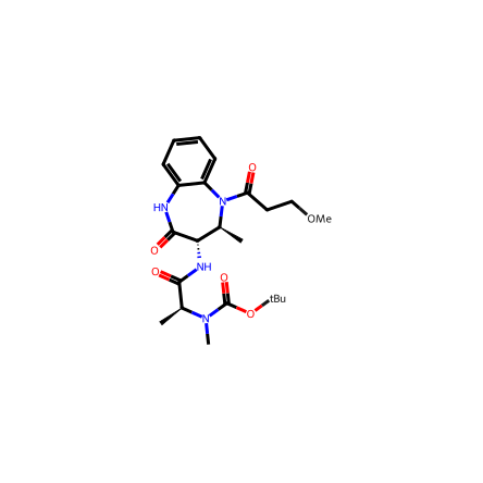 COCCC(=O)N1c2ccccc2NC(=O)[C@@H](NC(=O)[C@H](C)N(C)C(=O)OC(C)(C)C)[C@@H]1C